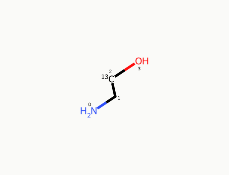 NC[13CH2]O